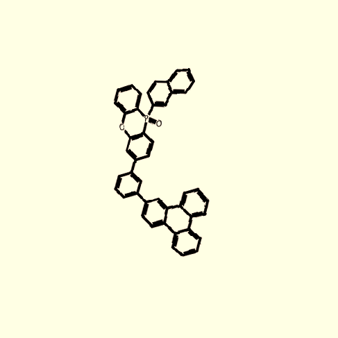 O=P1(c2ccc3ccccc3c2)c2ccccc2Oc2cc(-c3cccc(-c4ccc5c6ccccc6c6ccccc6c5c4)c3)ccc21